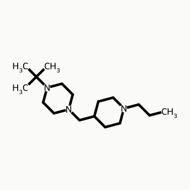 CCCN1CCC(CN2CCN(C(C)(C)C)CC2)CC1